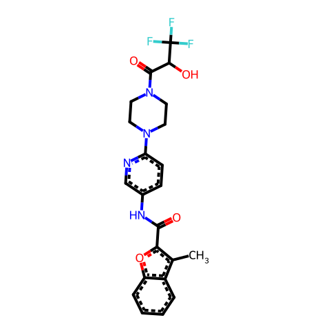 Cc1c(C(=O)Nc2ccc(N3CCN(C(=O)C(O)C(F)(F)F)CC3)nc2)oc2ccccc12